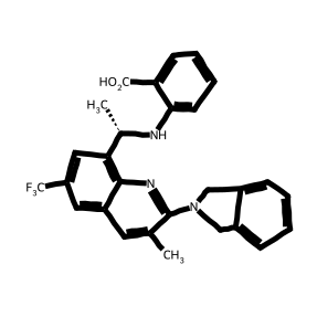 Cc1cc2cc(C(F)(F)F)cc([C@H](C)Nc3ccccc3C(=O)O)c2nc1N1Cc2ccccc2C1